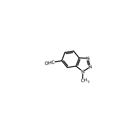 Cn1nnc2ccc(C=O)cc21